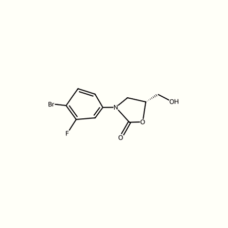 O=C1O[C@@H](CO)CN1c1ccc(Br)c(F)c1